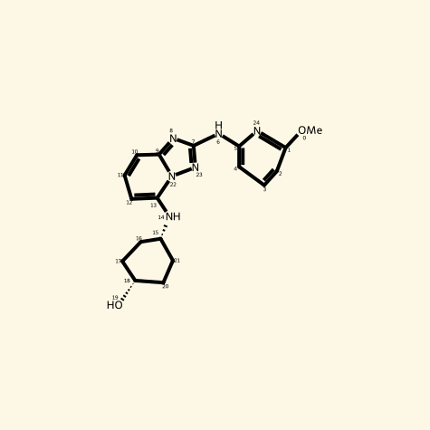 COc1cccc(Nc2nc3cccc(N[C@H]4CC[C@@H](O)CC4)n3n2)n1